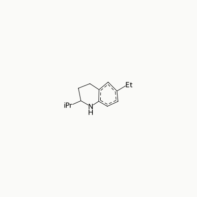 CCc1ccc2c(c1)CCC(C(C)C)N2